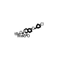 COC(=O)[C@H]1c2ccc(OCc3ccc(Cl)cc3)cc2CCN1C(=O)OC(C)(C)C